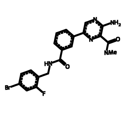 CNC(=O)c1nc(-c2cccc(C(=O)NCc3ccc(Br)cc3F)c2)cnc1N